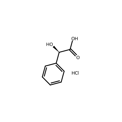 Cl.O=C(O)[C@H](O)c1ccccc1